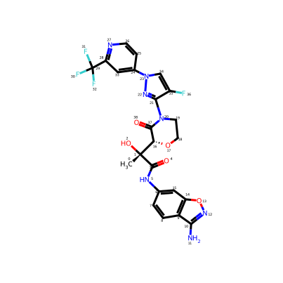 C[C@](O)(C(=O)Nc1ccc2c(N)noc2c1)[C@H]1OCCN(c2nn(-c3ccnc(C(F)(F)F)c3)cc2F)C1=O